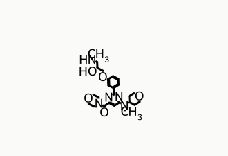 CNCC(O)COc1cccc(-c2nc(C(=O)N3CCOCC3)cc(N(C)C3CCOCC3)n2)c1